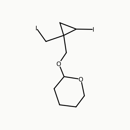 ICC1(COC2CCCCO2)CC1I